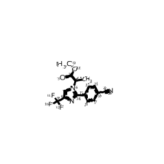 COC(=O)C(C)n1cc(C(F)(F)F)nc1-c1ccc(C#N)cc1